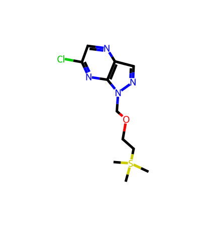 CS(C)(C)CCOCn1ncc2ncc(Cl)nc21